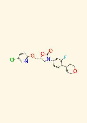 O=C1O[C@@H](COc2ccc(Cl)cn2)CN1c1ccc(C2=CCOCC2)c(F)c1